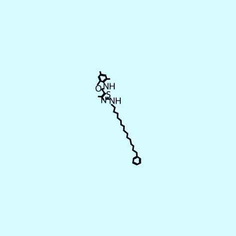 Cc1cc(C)c(NC(=O)c2sc(NCCCCCCCCCCCCCCCCc3ccccc3)nc2C)c(C)c1